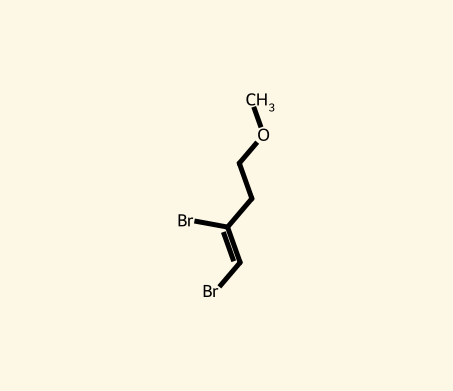 COCCC(Br)=CBr